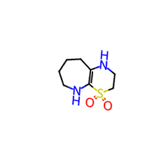 O=S1(=O)CCNC2=C1NCCCC2